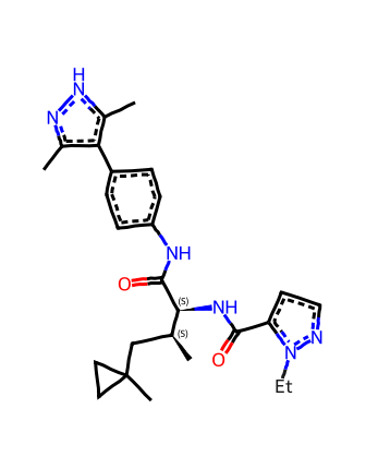 CCn1nccc1C(=O)N[C@H](C(=O)Nc1ccc(-c2c(C)n[nH]c2C)cc1)[C@@H](C)CC1(C)CC1